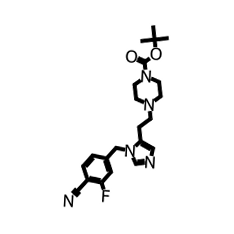 CC(C)(C)OC(=O)N1CCN(CCc2cncn2Cc2ccc(C#N)c(F)c2)CC1